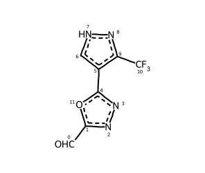 O=Cc1nnc(-c2c[nH]nc2C(F)(F)F)o1